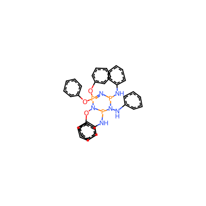 c1ccc(NN2P(Nc3ccccc3)N=P(Oc3ccccc3)(Oc3ccccc3)N(Oc3ccccc3)P2Nc2ccccc2)cc1